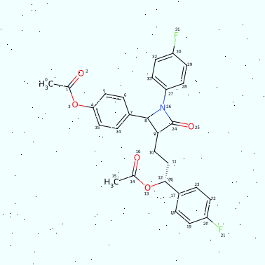 CC(=O)Oc1ccc(C2C(CC[C@@H](OC(C)=O)c3ccc(F)cc3)C(=O)N2c2ccc(F)cc2)cc1